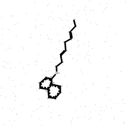 CCC=CCC=CCCOc1cccc2ccccc12